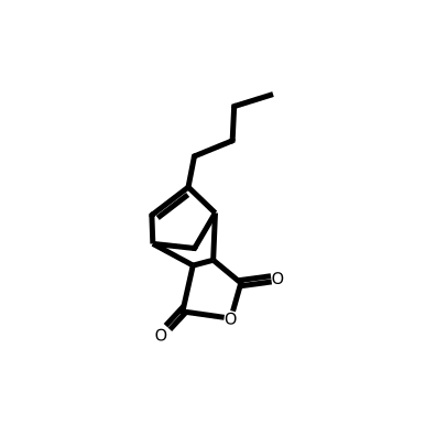 CCCCC1=CC2CC1C1C(=O)OC(=O)C21